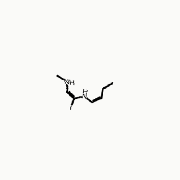 CC/C=C\N/C(I)=C\NC